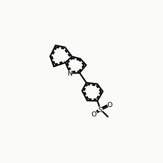 CS(=O)(=O)c1ccc(-c2ccc3ccccc3n2)cc1